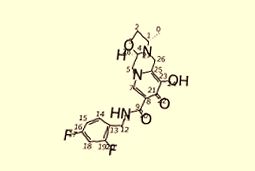 C[C@H]1CO[C@@H]2Cn3cc(C(=O)NCc4ccc(F)cc4F)c(=O)c(O)c3CN12